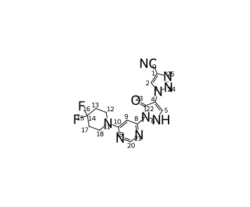 N#Cc1cn(-c2c[nH]n(-c3cc(N4CCC(F)(F)CC4)ncn3)c2=O)nn1